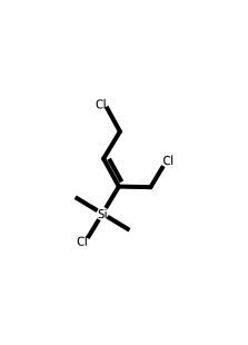 C[Si](C)(Cl)C(=CCCl)CCl